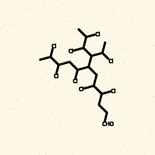 CC(Cl)C(Cl)CC(Cl)C(CC(Cl)C(Cl)CCC=O)C(C(C)Cl)C(Cl)C(C)Cl